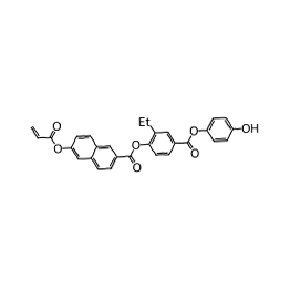 C=CC(=O)Oc1ccc2cc(C(=O)Oc3ccc(C(=O)Oc4ccc(O)cc4)cc3CC)ccc2c1